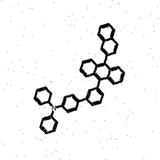 C1=CCC(N(c2ccccc2)c2ccc(-c3cccc(-c4c5ccccc5c(-c5ccc6ccccc6c5)c5ccccc45)c3)cc2)C=C1